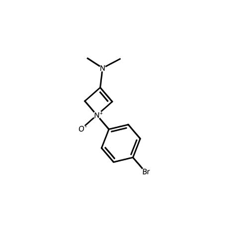 CN(C)C1=C[N+]([O-])(c2ccc(Br)cc2)C1